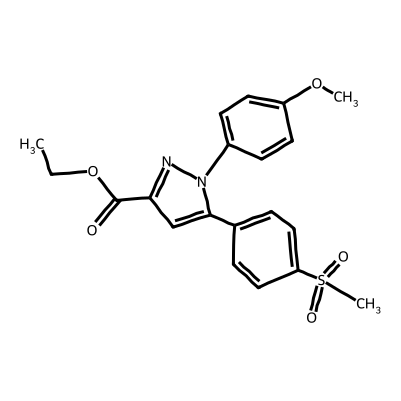 CCOC(=O)c1cc(-c2ccc(S(C)(=O)=O)cc2)n(-c2ccc(OC)cc2)n1